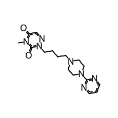 Cn1c(=O)cnn(CCCCN2CCN(c3ncccn3)CC2)c1=O